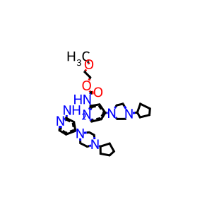 COCCOC(=O)Nc1cc(N2CCN(C3CCCC3)CC2)ccn1.Nc1cc(N2CCN(C3CCCC3)CC2)ccn1